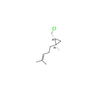 CC(C)=CCC[C@]1(C)C[C@H]1CCl